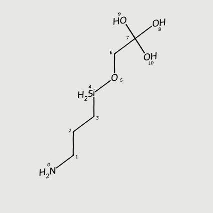 NCCC[SiH2]OCC(O)(O)O